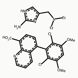 CCN(CC)Cc1c[nH]c(N)n1.COc1cc(OC)c(Cl)c(-c2ccc(C(=O)O)c3ncccc23)c1Cl